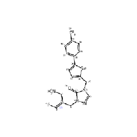 NC/C(=C\F)Cn1ncn(Cc2ccc(-c3ccc(C(F)(F)F)nc3)s2)c1=O